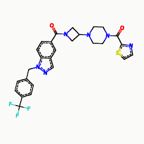 O=C(c1ccc2c(cnn2Cc2ccc(C(F)(F)F)cc2)c1)N1CC(N2CCN(C(=O)c3nccs3)CC2)C1